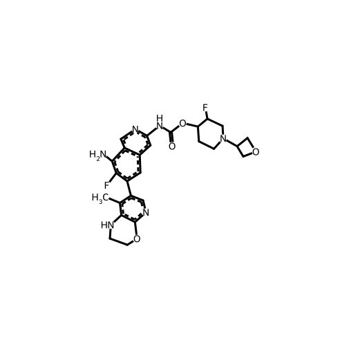 Cc1c(-c2cc3cc(NC(=O)OC4CCN(C5COC5)CC4F)ncc3c(N)c2F)cnc2c1NCCO2